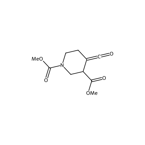 COC(=O)C1CN(C(=O)OC)CCC1=C=O